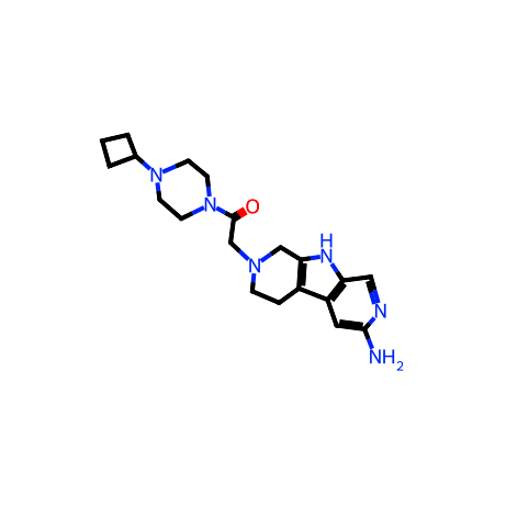 Nc1cc2c3c([nH]c2cn1)CN(CC(=O)N1CCN(C2CCC2)CC1)CC3